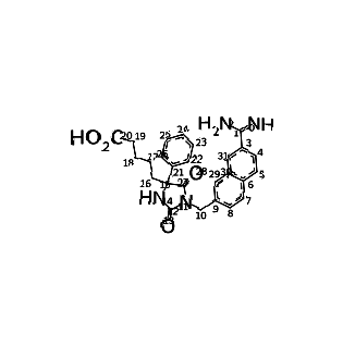 N=C(N)c1ccc2ccc(CN3C(=O)NC(CCCCC(=O)O)(c4ccccc4)C3=O)cc2c1